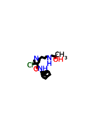 C[C@H](O)CNCCCc1cc(C(=O)NCC23CC4CC(CC(C4)C2)C3)c(Cl)cn1